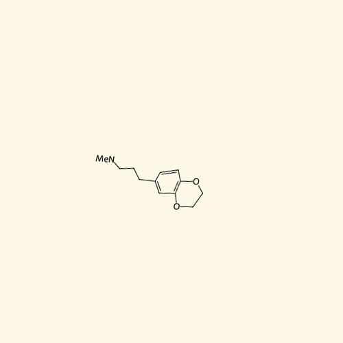 CNCCCc1ccc2c(c1)OCCO2